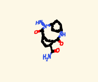 N=[n+]1c(=O)c2ccc(C(N)=O)c(c2)c(=O)[nH]c2ccc1cc2